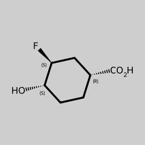 O=C(O)[C@@H]1CC[C@H](O)[C@@H](F)C1